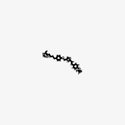 Cc1nn[nH]c1CCCCc1ccc(OCc2coc(C=Cc3ccc(OC(F)(F)F)cc3)n2)cc1